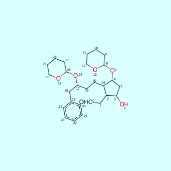 O=CCC1C(O)CC(OC2CCCCO2)C1CCC(Cc1ccccc1)OC1CCCCO1